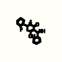 CN1C(=O)C(C(=N)c2ccccc2)=C(O)CC1c1ccccc1F